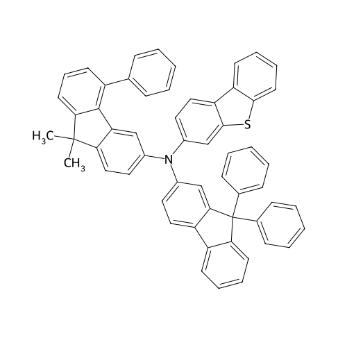 CC1(C)c2ccc(N(c3ccc4c(c3)C(c3ccccc3)(c3ccccc3)c3ccccc3-4)c3ccc4c(c3)sc3ccccc34)cc2-c2c(-c3ccccc3)cccc21